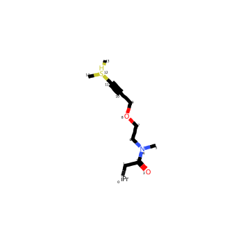 CC(C)CC(=O)N(C)CCOCC#C[SH](C)C